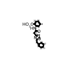 O=C(Cc1noc(Cc2ccccc2)n1)Nc1ccccc1C(=O)O